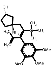 C=C(C)/C(=C(\C[C@]1(N)CC[C@H](O)C1)[Si](C)(C)C)c1cc(OC)c(OC)c(OC)c1